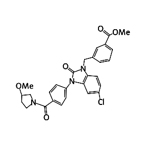 COC(=O)c1cccc(Cn2c(=O)n(-c3ccc(C(=O)N4CCC(OC)C4)cc3)c3cc(Cl)ccc32)c1